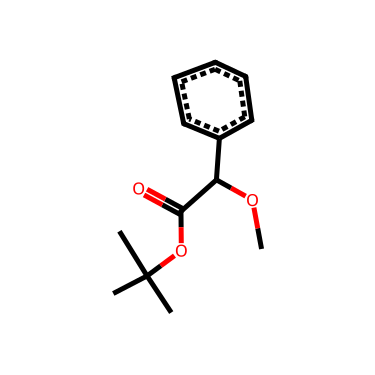 COC(C(=O)OC(C)(C)C)c1ccccc1